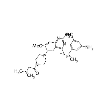 COc1cc2nc(C)nc(N[C@H](C)c3cc(N)cc(C(F)(F)F)c3)c2cc1P1CCN(C(=O)CN(C)C)CC1